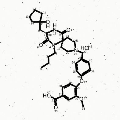 CCCCN1C(=O)[C@@H](CC2(O)CCCC2)NC(=O)C12CCN(Cc1ccc(Oc3ccc(C(=O)O)cc3OC)cc1)CC2.Cl